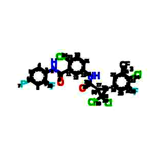 O=C(Nc1ccc(F)cc1F)c1cc(NC(=O)[C@H]2[C@H](c3cc(F)c(Cl)c(C(F)(F)F)c3)C2(Cl)Cl)ccc1Cl